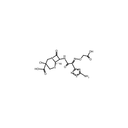 Nc1nc(C(=NOCC(=O)O)C(=O)NC2C(=O)N3CC(Cl)(C(=O)O)CS[C@H]23)ns1